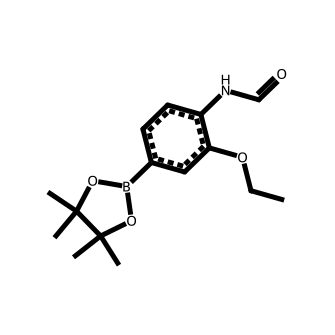 CCOc1cc(B2OC(C)(C)C(C)(C)O2)ccc1NC=O